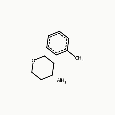 C1CCOCC1.Cc1ccccc1.[AlH3]